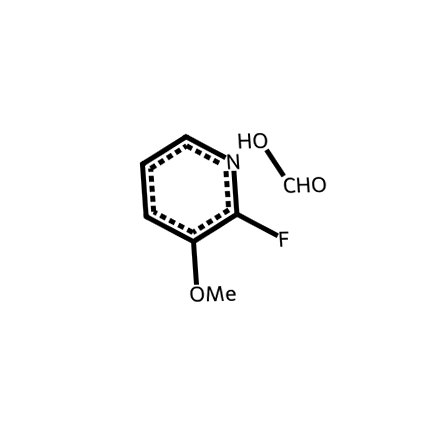 COc1cccnc1F.O=CO